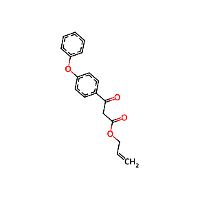 C=CCOC(=O)CC(=O)c1ccc(Oc2ccccc2)cc1